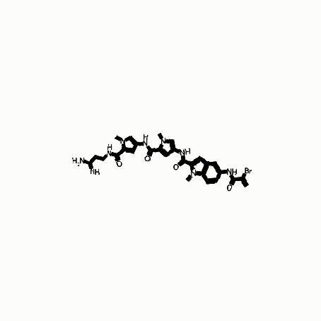 C=C(Br)C(=O)Nc1ccc2c(c1)cc(C(=O)Nc1cc(C(=O)Nc3cc(C(=O)NCCC(=N)N)n(C)c3)n(C)c1)n2C